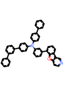 c1ccc(-c2ccc(N(c3ccc(-c4cccc(-c5ccccc5)c4)cc3)c3cccc(-c4cccc5c4oc4ccncc45)c3)cc2)cc1